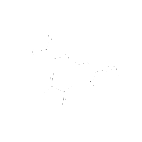 CC(=O)C(C)=O.NC(CSSCC(N)C(=O)O)C(=O)O